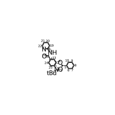 CC(C)(C)N(OC(=O)c1ccccc1)c1ccc(C(=O)Nc2ccccn2)cc1